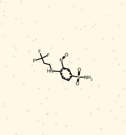 NS(=O)(=O)c1ccc(NCCC(F)(F)F)c(N=O)c1